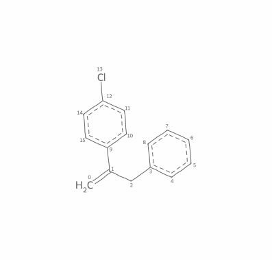 C=C(Cc1ccccc1)c1ccc(Cl)cc1